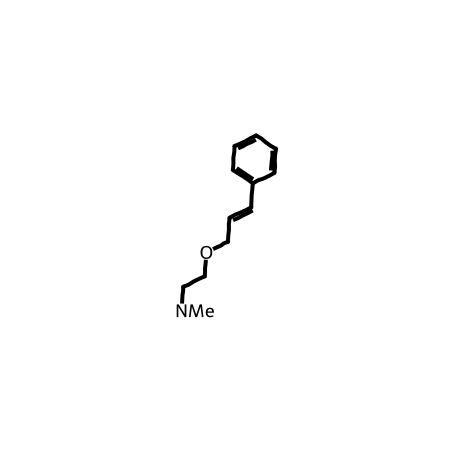 CNCCOCC=Cc1ccccc1